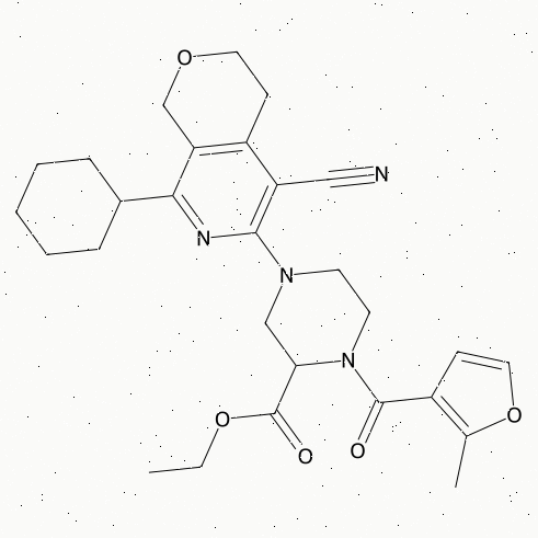 CCOC(=O)C1CN(c2nc(C3CCCCC3)c3c(c2C#N)CCOC3)CCN1C(=O)c1ccoc1C